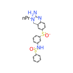 CCCN1Cc2cc([S+]([O-])c3cccc(N[S+]([O-])c4ccccc4)c3)ccc2N=C1N